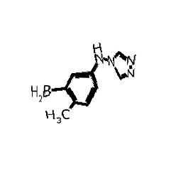 Bc1cc(Nn2cnnc2)ccc1C